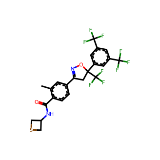 Cc1cc(C2=NOC(c3cc(C(F)(F)F)cc(C(F)(F)F)c3)(C(F)(F)F)C2)ccc1C(=O)NC1CSC1